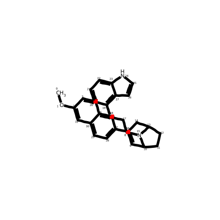 COc1ccc2cc(C3=CC4CCC(C3)N4CCOc3cccc4[nH]ccc34)ccc2c1